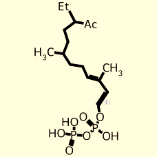 CCC(CCC(C)CCC=C(C)/C=C/OP(=O)(O)OP(=O)(O)O)C(C)=O